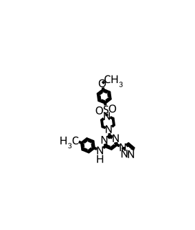 COc1ccc(S(=O)(=O)N2CCN(c3nc(Nc4ccc(C)cc4)cc(-n4ccnn4)n3)CC2)cc1